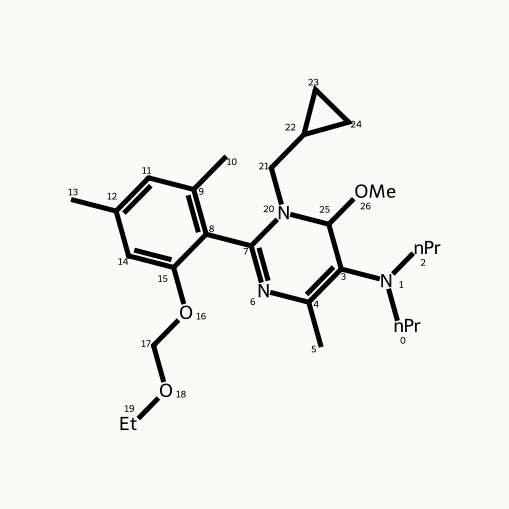 CCCN(CCC)C1=C(C)N=C(c2c(C)cc(C)cc2OCOCC)N(CC2CC2)C1OC